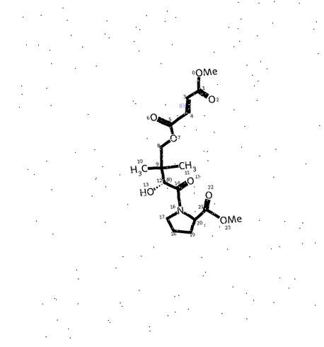 COC(=O)/C=C/C(=O)OCC(C)(C)[C@@H](O)C(=O)N1CCCC1C(=O)OC